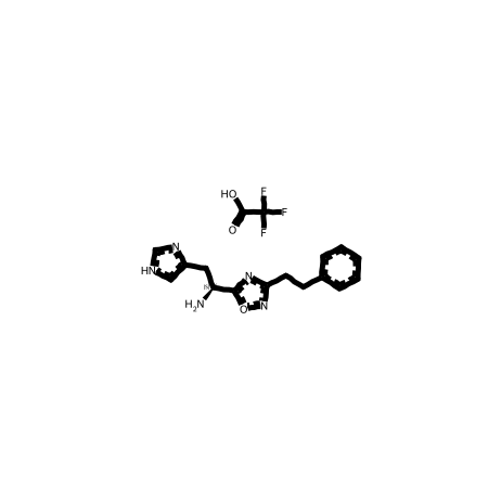 N[C@@H](Cc1c[nH]cn1)c1nc(CCc2ccccc2)no1.O=C(O)C(F)(F)F